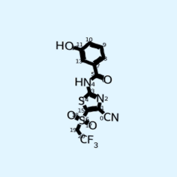 N#Cc1nc(NC(=O)c2cccc(O)c2)sc1S(=O)(=O)CC(F)(F)F